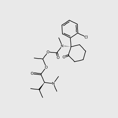 CC(OC(=O)[C@H](C(C)C)N(C)C)OC(=O)N(C)[C@]1(c2ccccc2Cl)CCCCC1=O